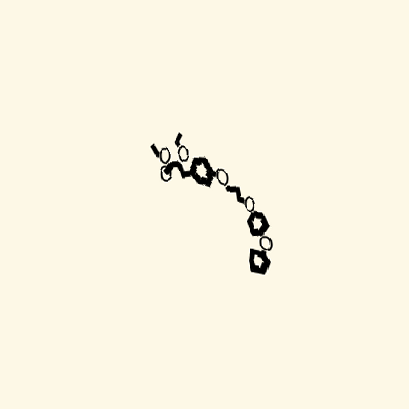 CCOC(=O)C(Cc1ccc(OCCCOc2ccc(Oc3ccccc3)cc2)cc1)OCC